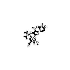 COC1C(OP(OCCC#N)N(C(C)C)C(C)C)[C@@H](OCP(=O)(OC)OC)O[C@H]1n1ccc(=O)[nH]c1=O